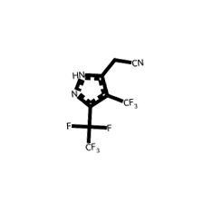 N#CCc1[nH]nc(C(F)(F)C(F)(F)F)c1C(F)(F)F